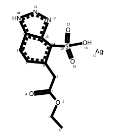 CCOC(=O)Cc1ccc2[nH]nnc2c1S(=O)(=O)O.[Ag]